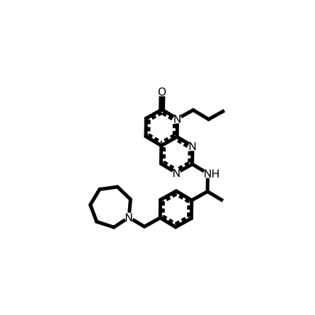 CCCn1c(=O)ccc2cnc(NC(C)c3ccc(CN4CCCCCC4)cc3)nc21